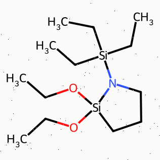 CCO[Si]1(OCC)CCCN1[Si](CC)(CC)CC